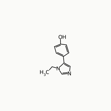 CCn1cncc1-c1ccc(O)cc1